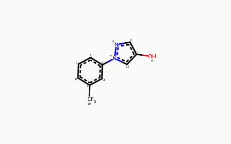 Oc1cnn(-c2cccc(C(F)(F)F)c2)c1